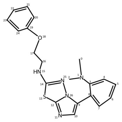 CN(C)c1ccccc1-c1cnc2sc(NCCOc3ccccc3)nn12